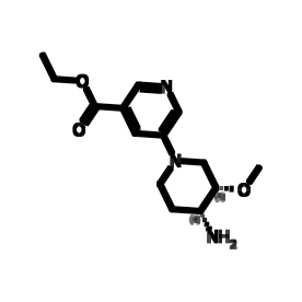 CCOC(=O)c1cncc(N2CC[C@@H](N)[C@@H](OC)C2)c1